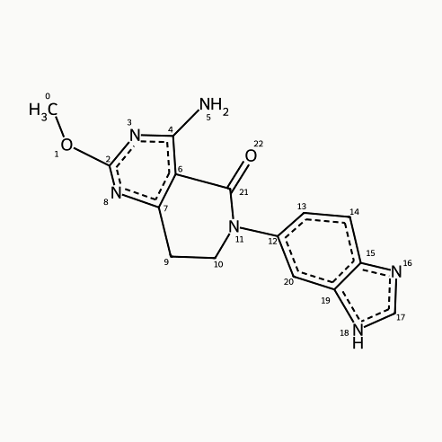 COc1nc(N)c2c(n1)CCN(c1ccc3nc[nH]c3c1)C2=O